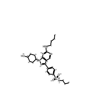 CCCCNc1ncc2c(-c3ccc(S(=O)(=O)NCCC)cc3)nn(C3CCC(O)CC3)c2n1